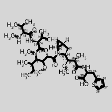 CCC(C)C(C(CC(=O)N1[C@H]2C[C@H]2C[C@H]1[C@H](OC)[C@@H](C)C(=O)NC(Cc1cccs1)C(=O)O)OC)N(C)C(=O)[C@@H](NC(=O)[C@@H](NC)C(C)C)C(C)C